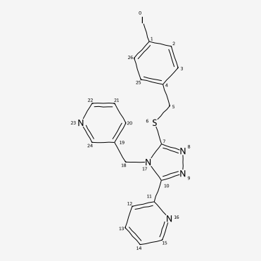 Ic1ccc(CSc2nnc(-c3ccccn3)n2Cc2cccnc2)cc1